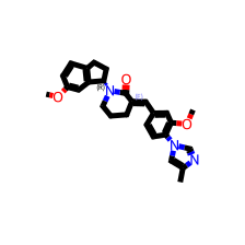 COc1ccc2c(c1)[C@H](N1CCC/C(=C\c3ccc(-n4cnc(C)c4)c(OC)c3)C1=O)CC2